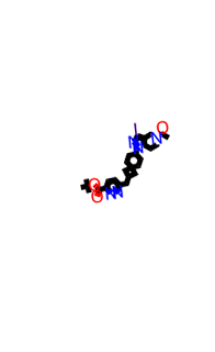 CC(=O)N1CCc2c(c(I)nn2C2CCC3(CC2)CC(Cc2ccc(C(=O)OC(C)(C)C)nn2)C3)C1